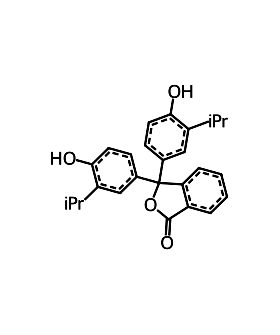 CC(C)c1cc(C2(c3ccc(O)c(C(C)C)c3)OC(=O)c3ccccc32)ccc1O